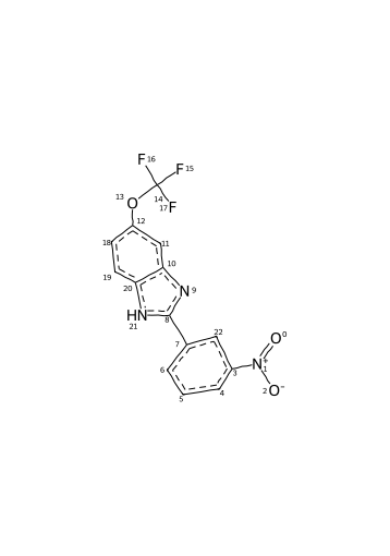 O=[N+]([O-])c1cccc(-c2nc3cc(OC(F)(F)F)ccc3[nH]2)c1